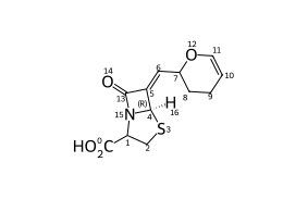 O=C(O)C1CS[C@@H]2C(=CC3CCC=CO3)C(=O)N12